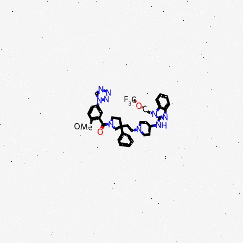 COc1ccc(-n2cnnn2)cc1C(=O)N1CCC(CCN2CCC(Nc3nc4ccccc4n3CCOC(F)(F)F)CC2)(c2ccccc2)C1